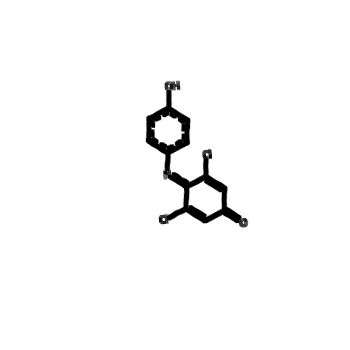 O=C1C=C(Cl)C(=Nc2ccc(O)cc2)C(Cl)=C1